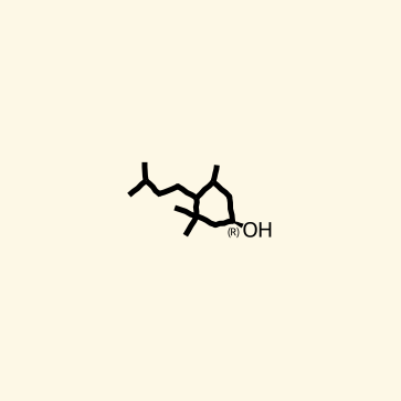 CC(C)CCC1C(C)C[C@@H](O)CC1(C)C